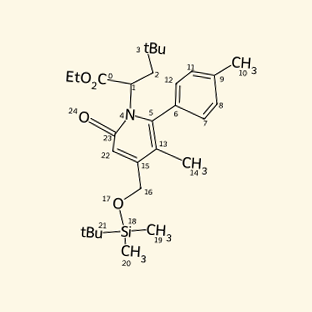 CCOC(=O)C(CC(C)(C)C)n1c(-c2ccc(C)cc2)c(C)c(CO[Si](C)(C)C(C)(C)C)cc1=O